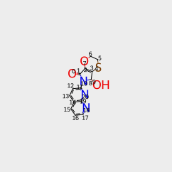 O=C1C2=C(SCCO2)C(O)N1c1ccc2cccnc2n1